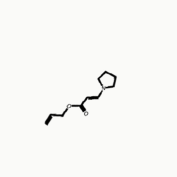 C=CCOC(=O)C=CN1CCCC1